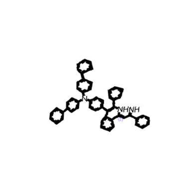 N=C(/C=C1\NC(c2ccccc2)=C(c2ccc(N(c3ccc(-c4ccccc4)cc3)c3ccc(-c4ccccc4)cc3)cc2)c2ccccc21)c1ccccc1